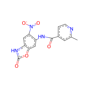 Cc1cc(C(=O)Nc2cc3oc(=O)[nH]c3cc2[N+](=O)[O-])ccn1